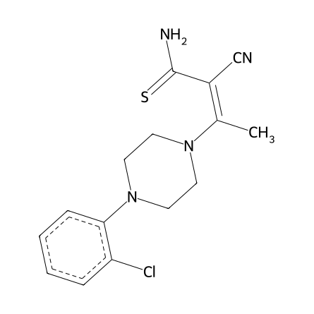 CC(=C(C#N)C(N)=S)N1CCN(c2ccccc2Cl)CC1